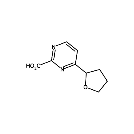 O=C(O)c1nccc(C2CCCO2)n1